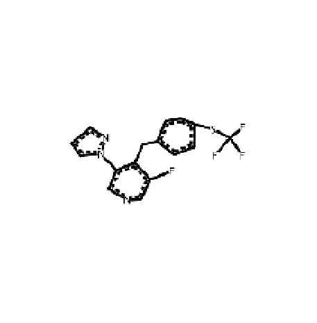 Fc1cncc(-n2cccn2)c1Cc1ccc(SC(F)(F)F)cc1